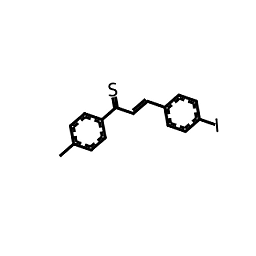 Cc1ccc(C(=S)C=Cc2ccc(I)cc2)cc1